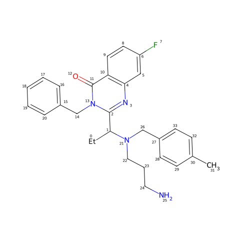 CCC(c1nc2cc(F)ccc2c(=O)n1Cc1ccccc1)N(CCCN)Cc1ccc(C)cc1